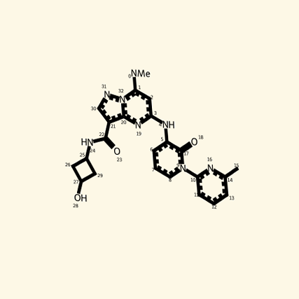 CNc1cc(Nc2cccn(-c3cccc(C)n3)c2=O)nc2c(C(=O)NC3CC(O)C3)cnn12